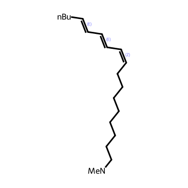 CCCC/C=C/C=C/C=C\CCCCCCCCNC